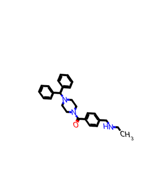 CCNCc1ccc(C(=O)N2CCN(C(c3ccccc3)c3ccccc3)CC2)cc1